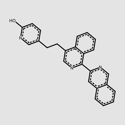 Oc1ccc(CCc2cnc(-c3cc4ccccc4cn3)c3ccccc23)cn1